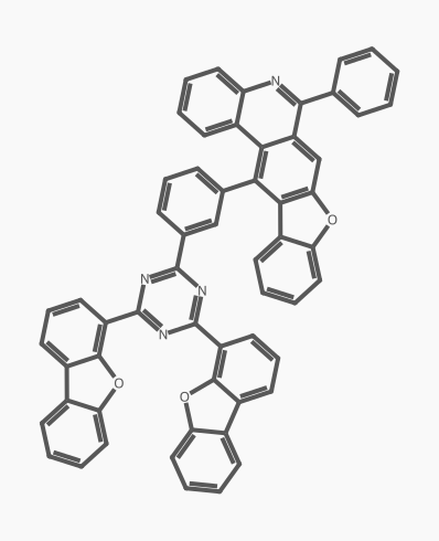 c1ccc(-c2nc3ccccc3c3c(-c4cccc(-c5nc(-c6cccc7c6oc6ccccc67)nc(-c6cccc7c6oc6ccccc67)n5)c4)c4c(cc23)oc2ccccc24)cc1